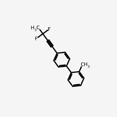 Cc1ccccc1-c1ccc(C#CC(C)(F)F)cc1